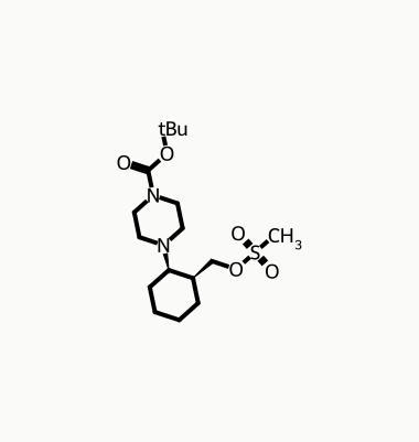 CC(C)(C)OC(=O)N1CCN([C@@H]2CCCC[C@@H]2COS(C)(=O)=O)CC1